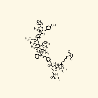 CCCO[C@H](C[C@H](C(C)C)N(CCC)C(=O)[C@@H](NC(=O)[C@H]1CCCCN1C(=O)OCc1ccc(CC(=O)[C@H](CCCNC(N)=O)NC(=O)[C@@H](NC(=O)CCCCCN2C(=O)C=CC2=O)C(C)C)cc1)[C@@H](C)CC)c1nc(C(=O)N[C@@H](Cc2ccc(O)cc2)C[C@H](C)C(=O)OC)cs1